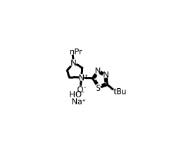 CCCN1CC[N+]([O-])(c2nnc(C(C)(C)C)s2)C1.[Na+].[OH-]